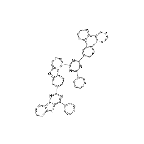 c1ccc(-c2nc(-c3ccc4c5ccccc5c5ccccc5c4c3)nc(-c3cccc4oc5cc(-c6nc(-c7ccccc7)c7oc8ccccc8c7n6)ccc5c34)n2)cc1